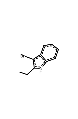 CCc1[nH]c2ccccc2c1Br